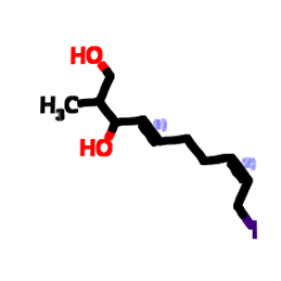 CC(CO)C(O)/C=C/CC/C=C\CI